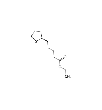 CCOC(=O)CCCC[C@@H]1CCSS1